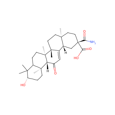 CC1(C)C2CC[C@]3(C)[C@H](C(=O)C=C4[C@H]5C[C@@](C(N)=O)(C(=O)O)CC[C@]5(C)CC[C@]43C)[C@@]2(C)CC[C@@H]1O